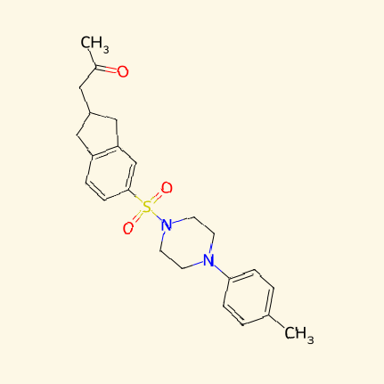 CC(=O)CC1Cc2ccc(S(=O)(=O)N3CCN(c4ccc(C)cc4)CC3)cc2C1